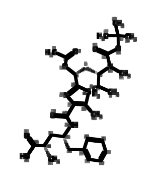 CC(=O)O[C@H](C[C@@H](C(C)C)N(C)C(=O)OC(C)(C)C)c1nc(C(=O)N[C@H](Cc2ccccc2)C[C@H](C)C(=O)O)c(C)s1